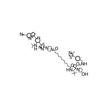 Cc1ncsc1-c1ccc([C@H](C)NC(=O)[C@@H]2C[C@@H](O)CN2C(=O)[C@@H](NC(=O)CCCCCCCCCC(=O)N2CCN(c3nnc(-c4cnc(-c5ccc6cc(C#N)cnn56)cc4NC(C)C)s3)CC2)C(C)(C)C)cc1